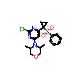 CC1COCC(C)N1c1cc(C2(S(=O)(=O)c3ccccc3)CC2)nc(Cl)n1